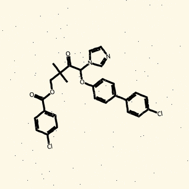 CC(C)(COC(=O)c1ccc(Cl)cc1)C(=O)C(Oc1ccc(-c2ccc(Cl)cc2)cc1)n1ccnc1